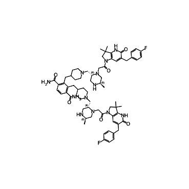 C[C@@H]1CN(CC(=O)N2CC(C)(C)c3[nH]c(=O)c(Cc4ccc(F)cc4)cc32)[C@@H](CN2CCC(Cc3c(C(N)=O)ccc(C(N)=O)c3CC3CCN(C[C@H]4CN[C@H](C)CN4CC(=O)N4CC(C)(C)c5[nH]c(=O)c(Cc6ccc(F)cc6)cc54)CC3)CC2)CN1